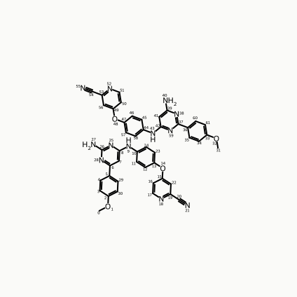 COc1ccc(-c2cc(Nc3ccc(Oc4ccnc(C#N)c4)cc3)nc(N)n2)cc1.COc1ccc(-c2nc(N)cc(Nc3ccc(Oc4ccnc(C#N)c4)cc3)n2)cc1